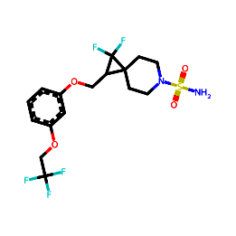 NS(=O)(=O)N1CCC2(CC1)C(COc1cccc(OCC(F)(F)F)c1)C2(F)F